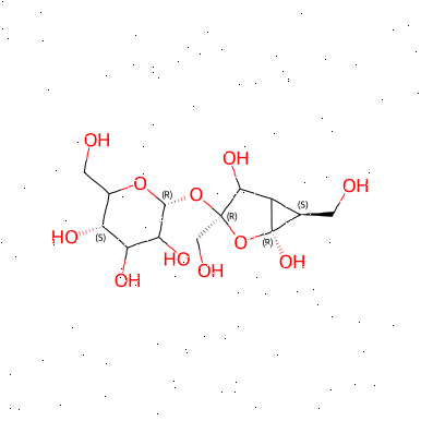 OCC1O[C@H](O[C@]2(CO)O[C@@]3(O)C(C2O)[C@H]3CO)C(O)C(O)[C@@H]1O